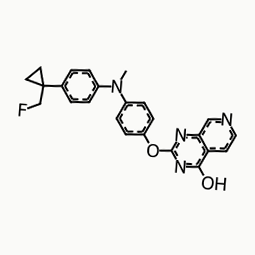 CN(c1ccc(Oc2nc(O)c3ccncc3n2)cc1)c1ccc(C2(CF)CC2)cc1